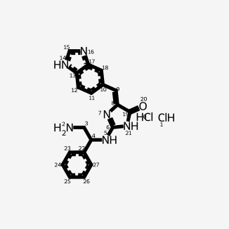 Cl.Cl.NCC(NC1=N/C(=C\c2ccc3[nH]cnc3c2)C(=O)N1)c1ccccc1